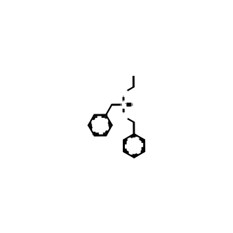 CCOP(=O)(Cc1cc[c]cc1)OCc1ccccc1